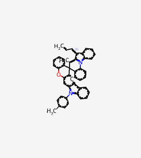 C=C/C=c1\c2n(c3ccccc13)-c1ccccc1C1(C=2C)c2ccccc2Oc2cc3c(cc21)c1ccccc1n3-c1ccc(C)cc1